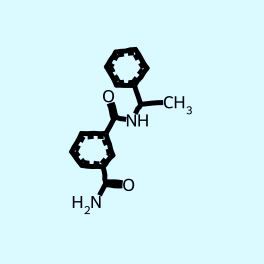 CC(NC(=O)c1cccc(C(N)=O)c1)c1ccccc1